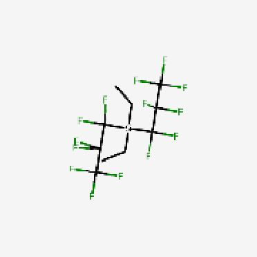 CC[Si](CC)(C(F)(F)C(F)(F)C(F)(F)F)C(F)(F)C(F)(F)C(F)(F)F